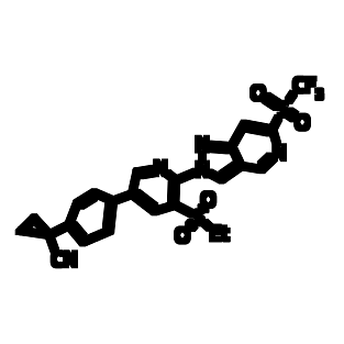 CCS(=O)(=O)c1cc(-c2ccc(C3(C#N)CC3)cc2)cnc1-n1cc2cnc(S(=O)(=O)C(F)(F)F)cc2n1